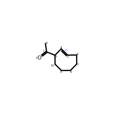 CC(=O)C1/C=C/CCCCC1